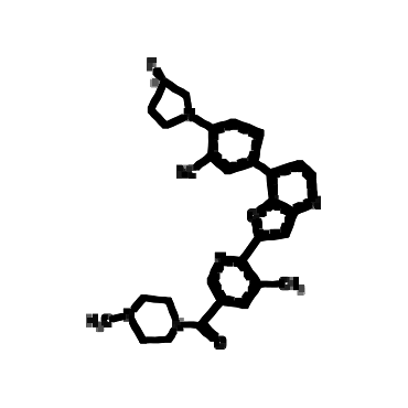 Cc1cc(C(=O)N2CCN(C)CC2)cnc1-c1cc2nccc(-c3ccc(N4CC[C@@H](F)C4)c(C#N)c3)c2o1